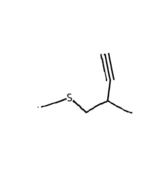 C#CC(C)CS[CH2]